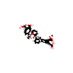 C[Si](C)(O[Si](O[Si](C)(C)C1CC2CC1C1C(=O)OC(=O)C21)(c1ccccc1)c1ccccc1)C1CC2CC1C1C(=O)OC(=O)C21